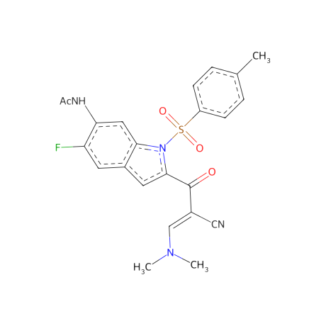 CC(=O)Nc1cc2c(cc1F)cc(C(=O)C(C#N)=CN(C)C)n2S(=O)(=O)c1ccc(C)cc1